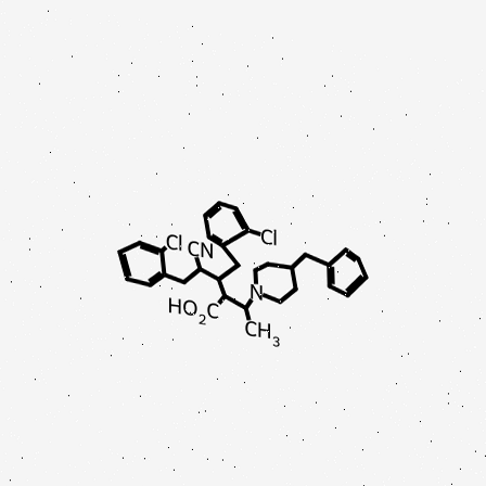 CC(C(C(=O)O)C(Cc1ccccc1Cl)C(C#N)Cc1ccccc1Cl)N1CCC(Cc2ccccc2)CC1